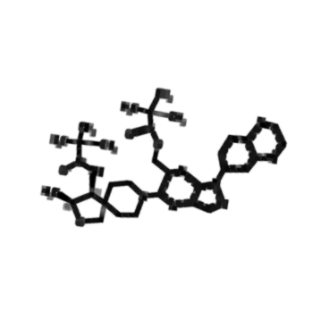 C[C@@H]1OCC2(CCN(c3nc4cnn(-c5ccc6nccnc6c5)c4nc3COS(=O)C(C)(C)C)CC2)[C@@H]1N[S+]([O-])C(C)(C)C